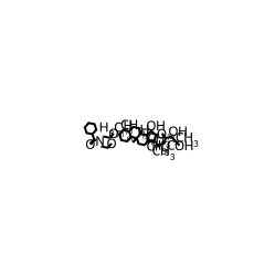 C[C@@H]1CC([C@H](O)C(C)(C)O)OC2C1[C@@]1(C)CCC34C[C@@]35CC[C@H](OC3CN(C(=O)C6CCCCC6)CCO3)C(C)(C)[C@@H]5CC[C@H]4[C@]1(C)[C@H]2O